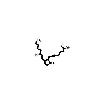 CCCCCC(O)C=CC1C=CC(=O)C1=CC#CCCCC(=O)O